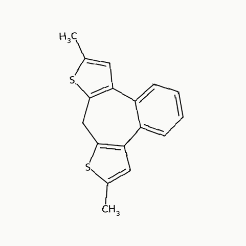 Cc1cc2c(s1)Cc1sc(C)cc1-c1ccccc1-2